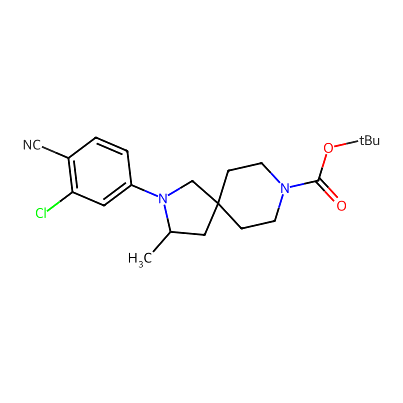 CC1CC2(CCN(C(=O)OC(C)(C)C)CC2)CN1c1ccc(C#N)c(Cl)c1